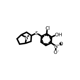 CN1C2CCC1CC(Sc1ccc([N+](=O)[O-])c(O)c1Cl)C2